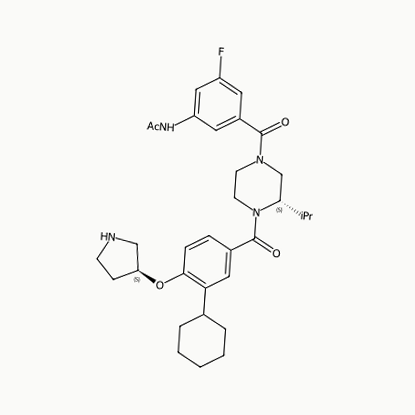 CC(=O)Nc1cc(F)cc(C(=O)N2CCN(C(=O)c3ccc(O[C@H]4CCNC4)c(C4CCCCC4)c3)[C@@H](C(C)C)C2)c1